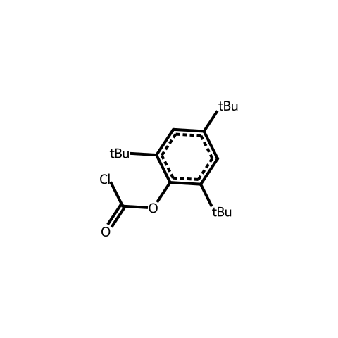 CC(C)(C)c1cc(C(C)(C)C)c(OC(=O)Cl)c(C(C)(C)C)c1